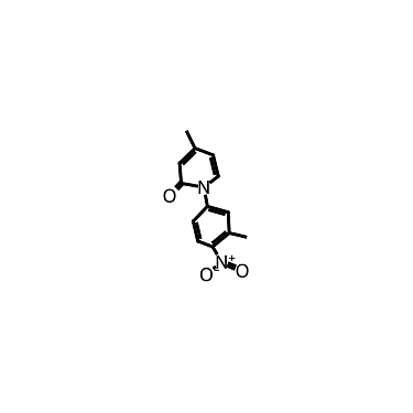 Cc1ccn(-c2ccc([N+](=O)[O-])c(C)c2)c(=O)c1